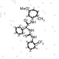 COc1ccc(C)c(NC(=O)C(NC(=S)Nc2ccccc2C(F)(F)F)c2ccccc2)c1